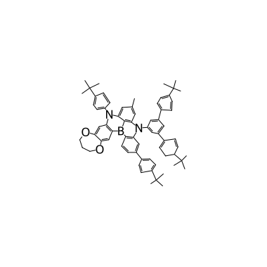 Cc1cc2c3c(c1)N(c1ccc(C(C)(C)C)cc1)c1cc4c(cc1B3c1ccc(-c3ccc(C(C)(C)C)cc3)cc1N2c1cc(C2=CCC(C(C)(C)C)C=C2)cc(-c2ccc(C(C)(C)C)cc2)c1)OCCCO4